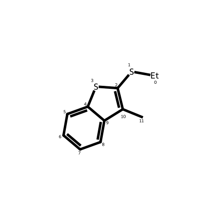 CCSc1sc2ccccc2c1C